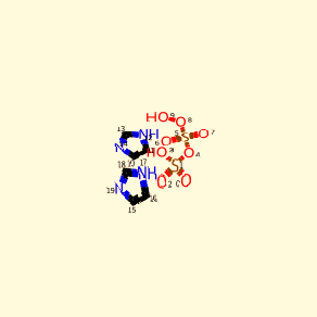 O=S(=O)(O)OS(=O)(=O)OO.c1c[nH]cn1.c1c[nH]cn1